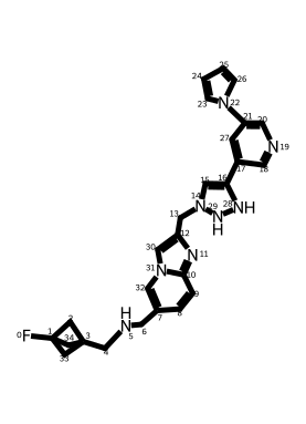 FC12CC(CNCc3ccc4nc(CN5C=C(c6cncc(-n7cccc7)c6)NN5)cn4c3)(C1)C2